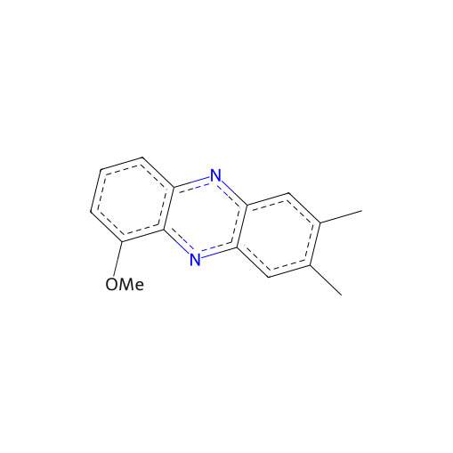 COc1cccc2nc3cc(C)c(C)cc3nc12